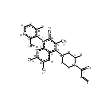 C=CC(=O)N1CCN(c2c(C#N)c(=O)n(-c3c(C)ccnc3C(C)C)c3nc(Cl)c(Cl)cc23)CC1C